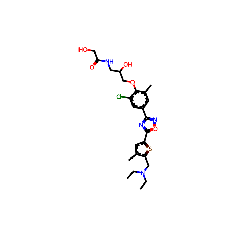 CCN(CC)Cc1sc(-c2nc(-c3cc(C)c(OCC(O)CNC(=O)CO)c(Cl)c3)no2)cc1C